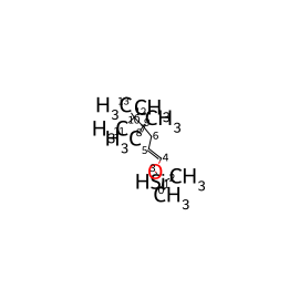 C[SiH](C)OC=CCC(C)(C)C(C)(C)C